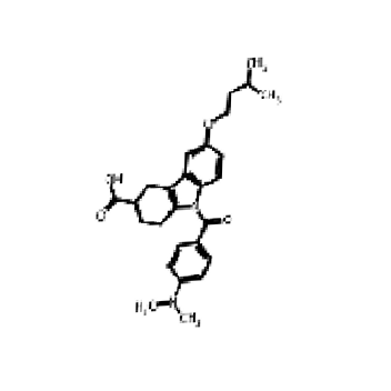 CC(C)CCOc1ccc2c(c1)c1c(n2C(=O)c2ccc(N(C)C)cc2)CCC(C(=O)O)C1